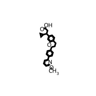 COc1cccc(-c2ccc(C3CCc4ccc(C(CC(=O)O)C5CC5)cc4O3)cc2)n1